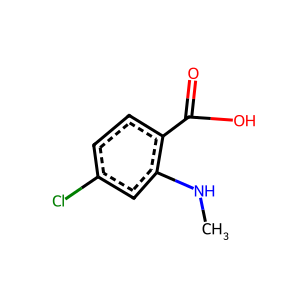 CNc1cc(Cl)ccc1C(=O)O